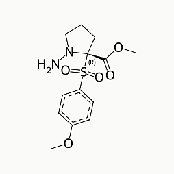 COC(=O)[C@]1(S(=O)(=O)c2ccc(OC)cc2)CCCN1N